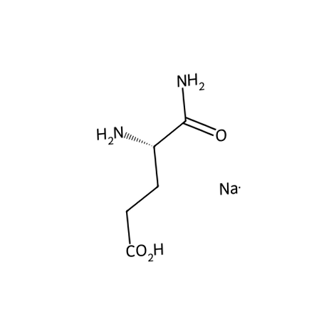 NC(=O)[C@@H](N)CCC(=O)O.[Na]